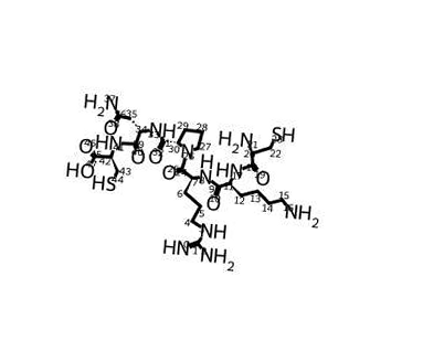 N=C(N)NCCC[C@H](NC(=O)[C@H](CCCCN)NC(=O)[C@@H](N)CS)C(=O)N1CCC[C@H]1C(=O)N[C@@H](CC(N)=O)C(=O)N[C@@H](CS)C(=O)O